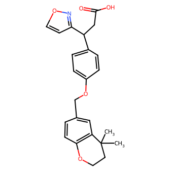 CC1(C)CCOc2ccc(COc3ccc(C(CC(=O)O)c4ccon4)cc3)cc21